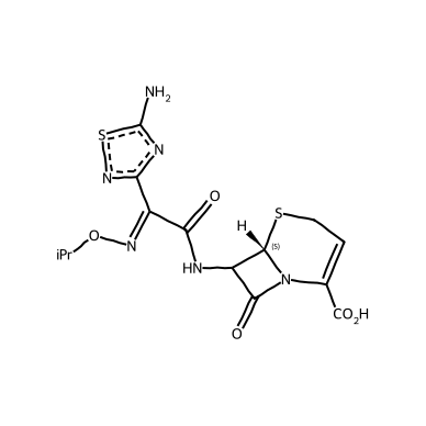 CC(C)ON=C(C(=O)NC1C(=O)N2C(C(=O)O)=CCS[C@@H]12)c1nsc(N)n1